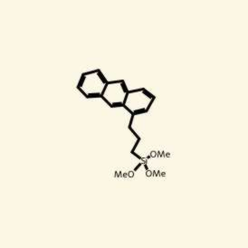 CO[Si](CCCc1cccc2cc3ccccc3cc12)(OC)OC